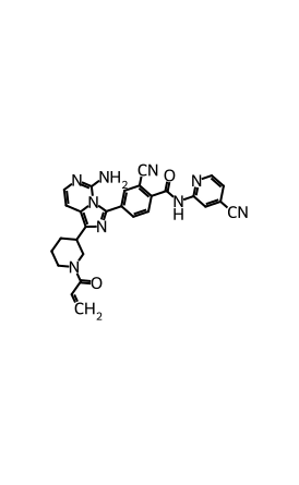 C=CC(=O)N1CCCC(c2nc(-c3ccc(C(=O)Nc4cc(C#N)ccn4)c(C#N)c3)n3c(N)nccc23)C1